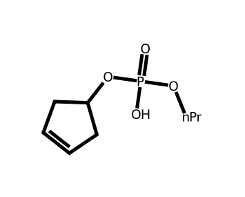 CCCOP(=O)(O)OC1CC=CC1